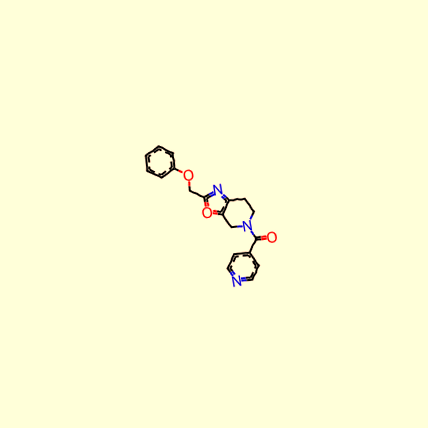 O=C(c1ccncc1)N1CCc2nc(COc3ccccc3)oc2C1